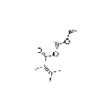 CC(C)=C(C)C(=O)[O][Ti][O]C(C)C